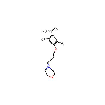 C=C(C)c1cc(C)c(OCCCN2CCOCC2)cc1[N+](=O)[O-]